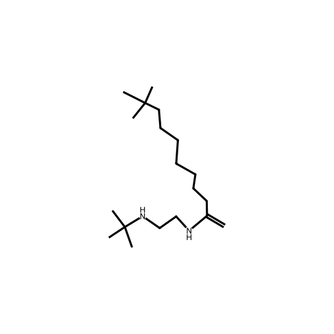 C=C(CCCCCCCC(C)(C)C)NCCNC(C)(C)C